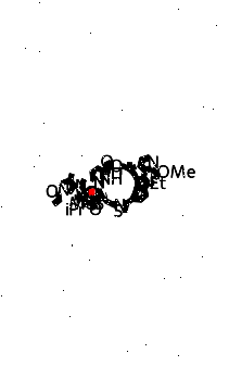 C=CC(=O)N1CC(C)=C(N(C)C(=O)N(C)C(C(=O)N[C@@]2(SC)Cc3nc(cs3)-c3ccc4c(c3)c(c(-c3cccnc3[C@H](C)OC)n4CC)CC(C)(C)COC(=O)[C@@]3(S)CCCN(N3)C2=O)C(C)C)C1